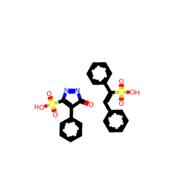 O=C1N=NC(S(=O)(=O)O)=C1c1ccccc1.O=S(=O)(O)C(=Cc1ccccc1)c1ccccc1